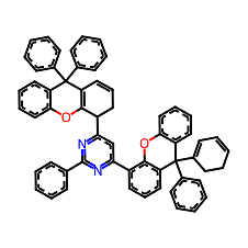 C1=CCCC(C2(c3ccccc3)c3ccccc3Oc3c(-c4cc(C5CC=CC6=C5Oc5ccccc5C6(c5ccccc5)c5ccccc5)nc(-c5ccccc5)n4)cccc32)=C1